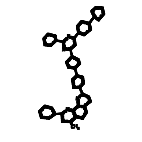 Cc1cc(-c2ccccc2)nc2c1ccc1ccc(-c3ccc(-c4ccc(-c5cc(-c6ccc(-c7ccccc7)cc6)nc(-c6ccccc6)n5)cc4)cc3)nc12